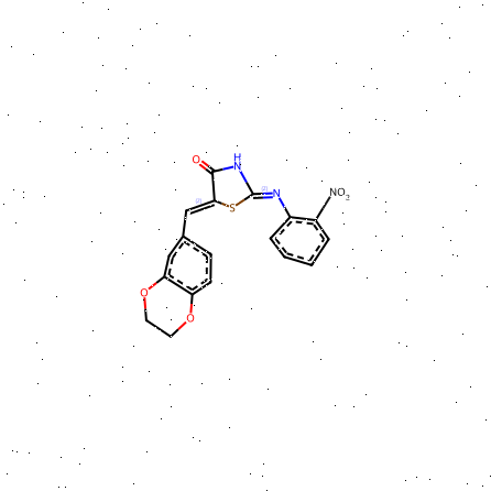 O=C1N/C(=N/c2ccccc2[N+](=O)[O-])S/C1=C\c1ccc2c(c1)OCCO2